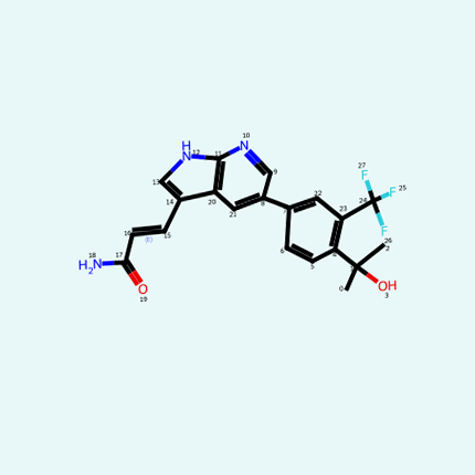 CC(C)(O)c1ccc(-c2cnc3[nH]cc(/C=C/C(N)=O)c3c2)cc1C(F)(F)F